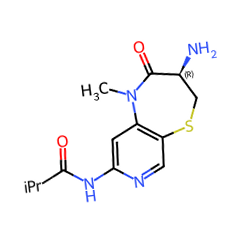 CC(C)C(=O)Nc1cc2c(cn1)SC[C@H](N)C(=O)N2C